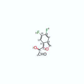 O=CC(=O)c1occ2cc(F)c(F)cc12